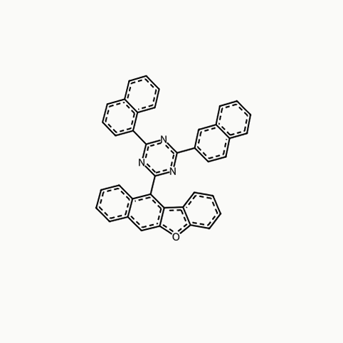 c1ccc2cc(-c3nc(-c4cccc5ccccc45)nc(-c4c5ccccc5cc5oc6ccccc6c45)n3)ccc2c1